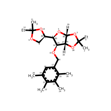 CCC1(C)O[C@H]2O[C@H]([C@H]3COC(C)(CC)O3)[C@H](OCc3cc(C)c(C)c(C)c3C)[C@H]2O1